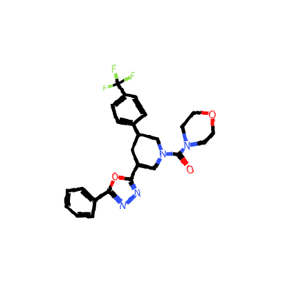 O=C(N1CCOCC1)N1CC(c2ccc(C(F)(F)F)cc2)CC(c2nnc(-c3ccccc3)o2)C1